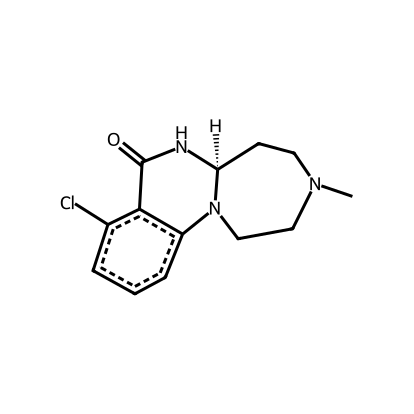 CN1CC[C@@H]2NC(=O)c3c(Cl)cccc3N2CC1